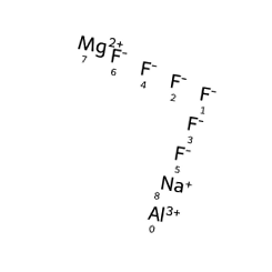 [Al+3].[F-].[F-].[F-].[F-].[F-].[F-].[Mg+2].[Na+]